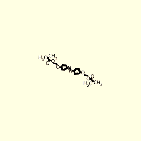 C=C(C)C(=O)OCCOc1ccc(N=Nc2ccc(OCCOC(=O)C(=C)C)cc2)cc1